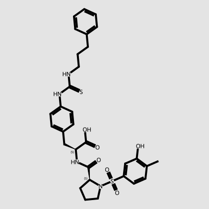 Cc1ccc(S(=O)(=O)N2CCC[C@H]2C(=O)N[C@@H](Cc2ccc(NC(=S)NCCCc3ccccc3)cc2)C(=O)O)cc1O